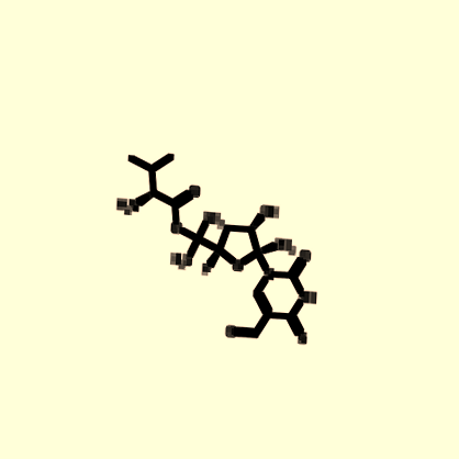 BC(B)(OC(=O)[C@@H](N)C(C)C)[C@]1(F)C[C@@H](O)[C@](B)(n2cc(C=O)c(=S)[nH]c2=O)O1